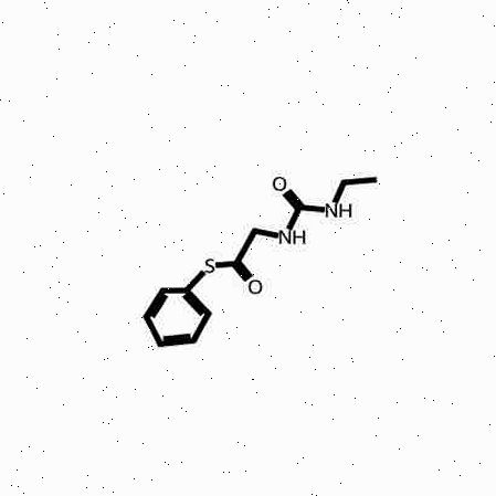 CCNC(=O)NCC(=O)Sc1ccccc1